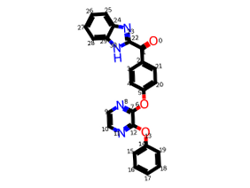 O=C(c1ccc(Oc2nccnc2Oc2ccccc2)cc1)c1nc2ccccc2[nH]1